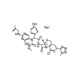 C=C(C)CNc1ncc(N(C(N)=O)C(C(=O)NC2C(=O)N3C(C(=O)[O-])=C(CSc4nnnn4C)CS[C@@H]23)c2ccc(O)cc2)c(O)n1.[Na+]